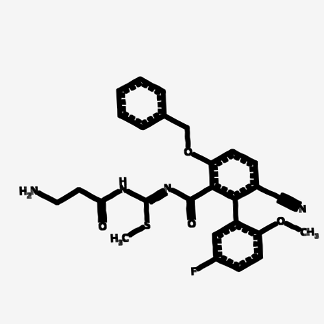 COc1ccc(F)cc1-c1c(C#N)ccc(OCc2ccccc2)c1C(=O)/N=C(/NC(=O)CCN)SC